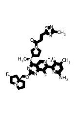 Cc1nsc(/C=C/C(=O)N2CC[C@@H](N(C)c3nc(OC[C@@]45CCCN4C[C@H](F)C5)nc4c(F)c(-c5nc(N)cc(C)c5C(F)(F)F)ncc34)C2)n1